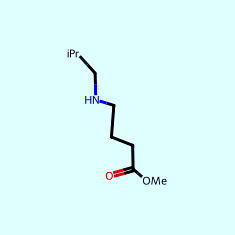 COC(=O)CCCNCC(C)C